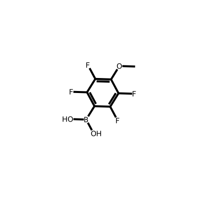 COc1c(F)c(F)c(B(O)O)c(F)c1F